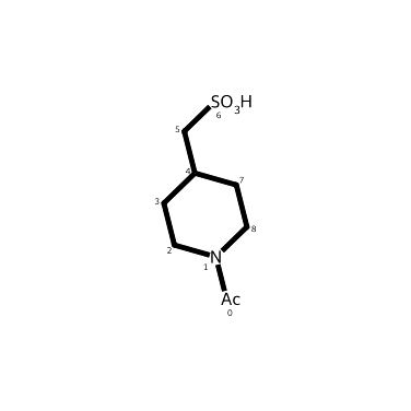 CC(=O)N1CCC(CS(=O)(=O)O)CC1